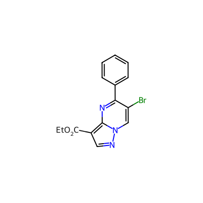 CCOC(=O)c1cnn2cc(Br)c(-c3ccccc3)nc12